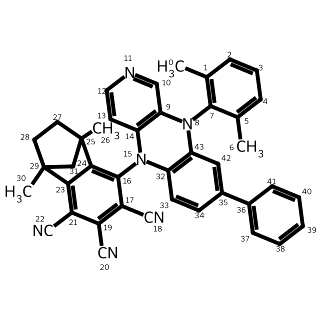 Cc1cccc(C)c1N1c2cnccc2N(c2c(C#N)c(C#N)c(C#N)c3c2C2(C)CCC3(C)C2)c2ccc(-c3ccccc3)cc21